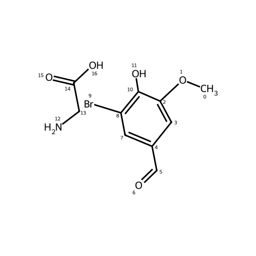 COc1cc(C=O)cc(Br)c1O.NCC(=O)O